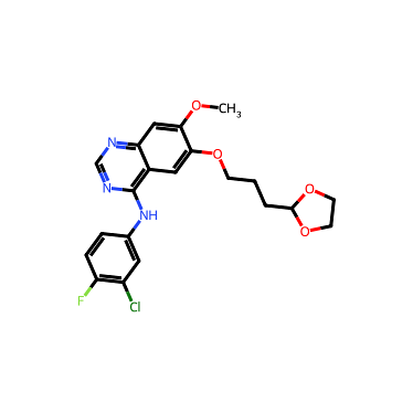 COc1cc2ncnc(Nc3ccc(F)c(Cl)c3)c2cc1OCCCC1OCCO1